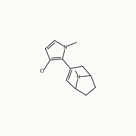 CN1C2C=C(c3c(Cl)ccn3C)CC1CC2